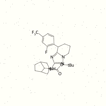 CC(C)(C)OC(=O)N1CC2CCC(C1)C2Nc1nc2n(n1)CCCC2c1ccc(C(F)(F)F)cc1F